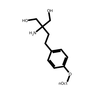 CCCCCCCCOc1ccc(CCC(N)(CO)CO)cc1